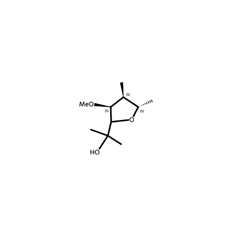 CO[C@@H]1C(C(C)(C)O)O[C@@H](C)[C@@H]1C